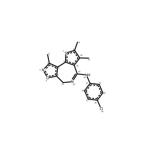 Cc1noc2c1-c1sc(C)c(C)c1C(Nc1ccc(Cl)cc1)=NC2